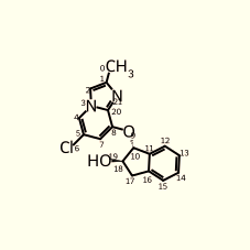 Cc1cn2cc(Cl)cc(O[C@@H]3c4ccccc4C[C@H]3O)c2n1